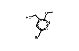 COc1nnc(Br)cc1CO